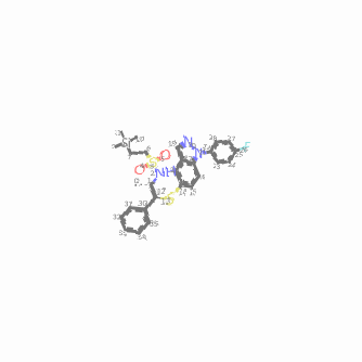 C[C@H](NS(=O)(=O)CC[Si](C)(C)C)[C@@H](Sc1ccc2c(cnn2-c2ccc(F)cc2)c1)c1ccccc1